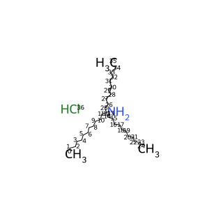 CCCCCCCCCCCCC(N)(CCCCCCCCCCC)CCCCCCCCCCC.Cl